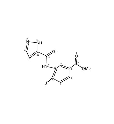 COC(=O)c1ccc(F)c(NC(=O)c2ccn[nH]2)c1